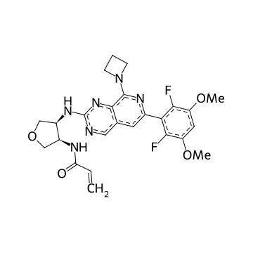 C=CC(=O)N[C@H]1COC[C@H]1Nc1ncc2cc(-c3c(F)c(OC)cc(OC)c3F)nc(N3CCC3)c2n1